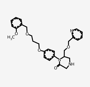 COc1ccccc1COCCCOc1ccc(N2C(=O)CNCC2COCc2ccccn2)cc1